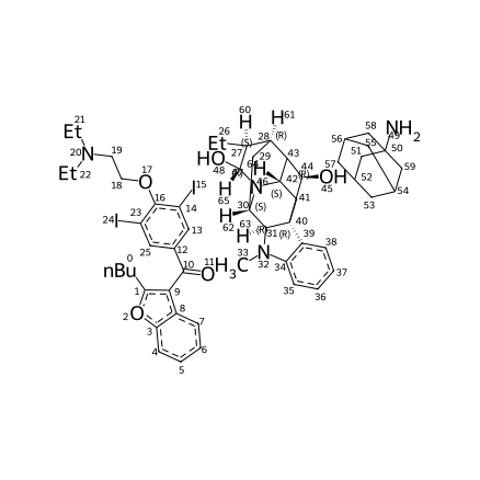 CCCCc1oc2ccccc2c1C(=O)c1cc(I)c(OCCN(CC)CC)c(I)c1.CC[C@H]1[C@@H]2C[C@H]3[C@@H]4N(C)c5ccccc5[C@]45C[C@@H](C2[C@H]5O)N3[C@@H]1O.NC12CC3CC(CC(C3)C1)C2